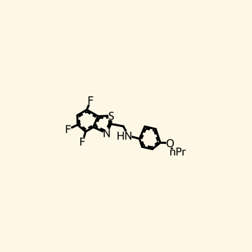 CCCOc1ccc(NCc2nc3c(F)c(F)cc(F)c3s2)cc1